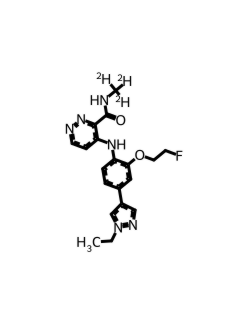 [2H]C([2H])([2H])NC(=O)c1nnccc1Nc1ccc(-c2cnn(CC)c2)cc1OCCF